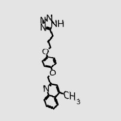 Cc1cc(COc2ccc(OCCCc3nnn[nH]3)cc2)nc2ccccc12